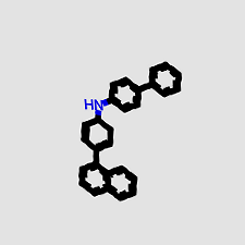 C1=CC(Nc2ccc(-c3ccccc3)cc2)CC=C1c1cccc2ccccc12